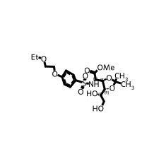 CCOCCOc1ccc(S(=O)(=O)N[C@@H](C(=O)OC)[C@H]2OC(C)(C)O[C@@H]2[C@@H](O)CO)cc1